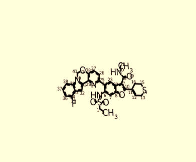 CCS(=O)(=O)Nc1cc2oc(C3=CCSCC3)c(C(=O)NC)c2cc1-c1ccc2c(n1)-c1cc3c(F)cccc3n1CO2